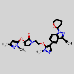 C#Cc1nn(C2CCCCO2)c2ccc(-c3cnn(C)c3OCCN3CC[C@@H](Oc4cc(C)nn4C)C3=O)cc12